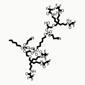 CCCCCCOP(=O)(OCCC#N)OC(COCC(CCCNC(=O)C(F)(F)F)(CCCNC(=O)C(F)(F)F)CCCNC(=O)C(F)(F)F)COP(=O)(O)OCCCCCCOP(=O)(OCCC#N)OC(CO)COCC(CCCNC(=O)C(F)(F)F)(CCCNC(=O)C(F)(F)F)CCCNC(=O)C(F)(F)F